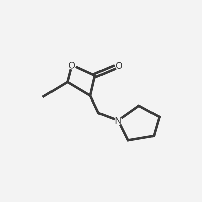 CC1OC(=O)C1CN1CCCC1